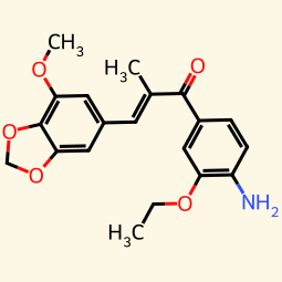 CCOc1cc(C(=O)/C(C)=C/c2cc(OC)c3c(c2)OCO3)ccc1N